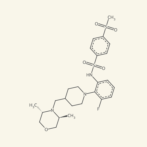 C[C@H]1COC[C@H](C)N1CC1CCN(c2c(F)cccc2NS(=O)(=O)c2ccc(S(C)(=O)=O)cc2)CC1